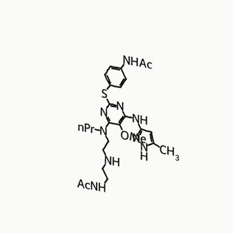 CCCN(CCNCCNC(C)=O)c1nc(Sc2ccc(NC(C)=O)cc2)nc(Nc2cc(C)[nH]n2)c1OC